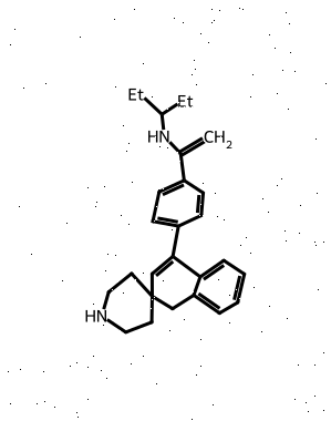 C=C(NC(CC)CC)c1ccc(C2=CC3(CCNCC3)Cc3ccccc32)cc1